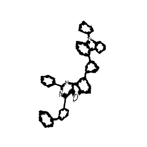 c1ccc(-c2cccc(-c3nc(-c4ccccc4)nc4c3oc3ccc(-c5cccc(-c6cccc7c6c6ccccc6n7-c6ccccc6)c5)cc34)c2)cc1